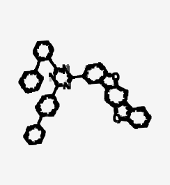 c1ccc(-c2ccc(-c3nc(-c4ccc5oc6cc7c(cc6c5c4)oc4ccccc47)nc(-c4ccccc4-c4ccccc4)n3)cc2)cc1